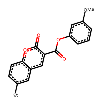 CCc1ccc2oc(=O)c(C(=O)Oc3cccc(OC)c3)cc2c1